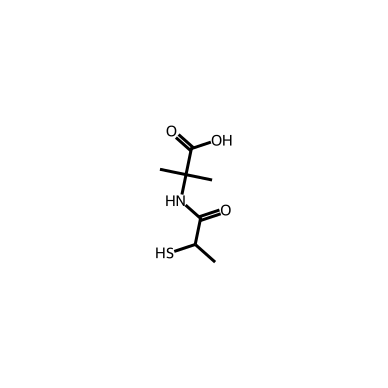 CC(S)C(=O)NC(C)(C)C(=O)O